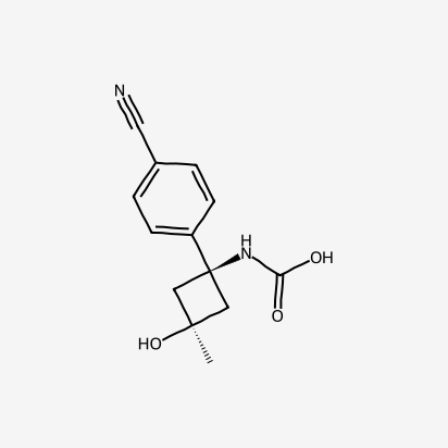 C[C@]1(O)C[C@](NC(=O)O)(c2ccc(C#N)cc2)C1